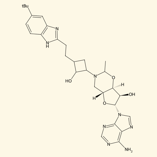 CC1O[C@H]2[C@@H](O)[C@H](n3cnc4c(N)ncnc43)O[C@@H]2CN1C1CC(CCc2nc3cc(C(C)(C)C)ccc3[nH]2)C1O